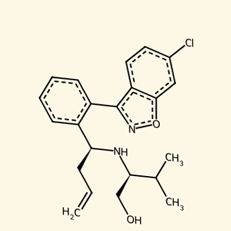 C=CC[C@H](N[C@H](CO)C(C)C)c1ccccc1-c1noc2cc(Cl)ccc12